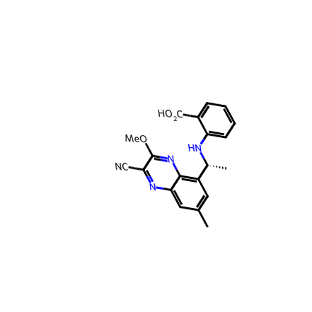 COc1nc2c([C@@H](C)Nc3ccccc3C(=O)O)cc(C)cc2nc1C#N